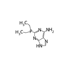 CCP(CC)c1nc(N)c2nc[nH]c2n1